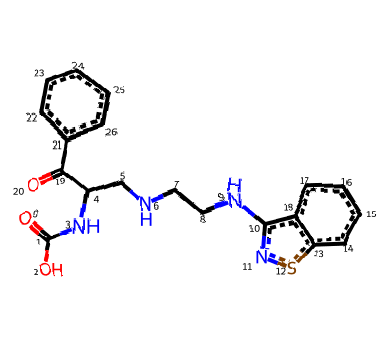 O=C(O)NC(CNCCNc1nsc2ccccc12)C(=O)c1ccccc1